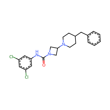 O=C(Nc1cc(Cl)cc(Cl)c1)N1CC(N2CCC(Cc3ccccc3)CC2)C1